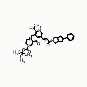 CNc1ncc(/C=C/C(=O)N2CC3C=C(c4ccccc4)CC3C2)cc1CN1CCN(C(=O)OC(C)(C)C)CC1C=O